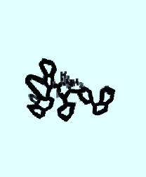 NC(/N=C(/c1ccccc1)[C@H](N)c1ccc(-c2cccc3ccccc23)cc1)n1c2ccccc2c2ccc3c(c21)C=Cc1ccccc1O3